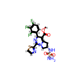 COC(=O)C1=C2C[C@H](NS(N)(=O)=O)CN2C(c2nccs2)=NC1c1ccc(F)c(F)c1F